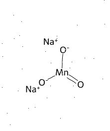 [Na+].[Na+].[O]=[Mn]([O-])[O-]